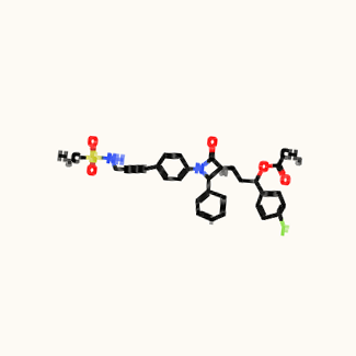 CC(=O)OC(CC[C@@H]1C(=O)N(c2ccc(C#CCNS(C)(=O)=O)cc2)C1c1cc[c]cc1)c1ccc(F)cc1